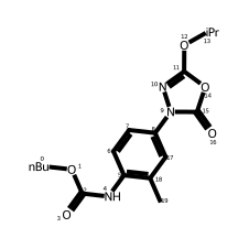 CCCCOC(=O)Nc1ccc(-n2nc(OC(C)C)oc2=O)cc1C